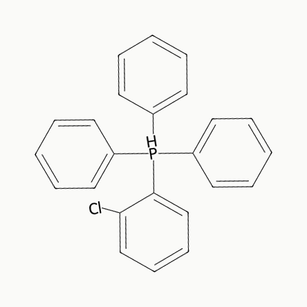 Clc1ccccc1[PH](c1ccccc1)(c1ccccc1)c1ccccc1